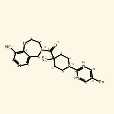 N#Cc1cncc2c1OCCN(C(=O)C1(C#N)CCN(c3ncc(F)cn3)CC1)C2